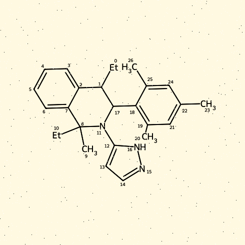 CCC1c2ccccc2C(C)(CC)N(c2ccn[nH]2)C1c1c(C)cc(C)cc1C